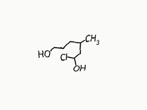 CC(CCCO)CC(O)Cl